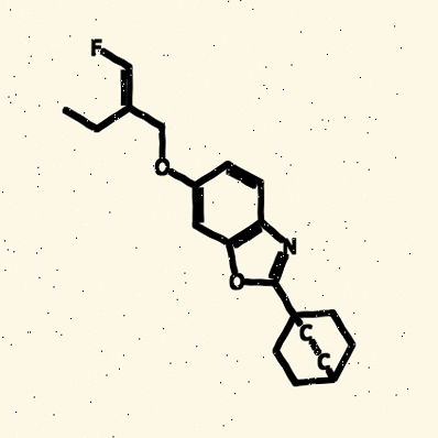 CC/C(=C\F)COc1ccc2nc(C34CCC(CC3)CC4)oc2c1